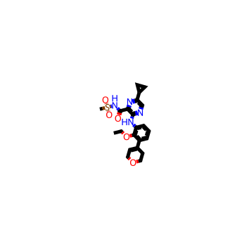 CCOc1c(Nc2ncc(C3CC3)nc2C(=O)NS(C)(=O)=O)cccc1C1=CCOCC1